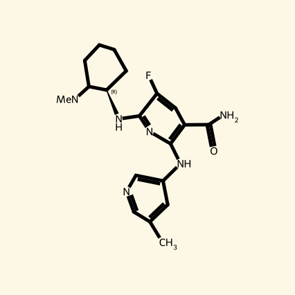 CNC1CCCC[C@H]1Nc1nc(Nc2cncc(C)c2)c(C(N)=O)cc1F